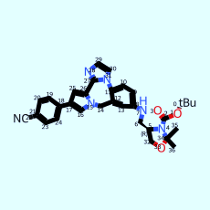 CC(C)(C)OC(=O)N1[C@H](CNc2ccc3c(c2)Cn2cc(-c4ccc(C#N)cc4)cc2-c2nccn2-3)COC1(C)C